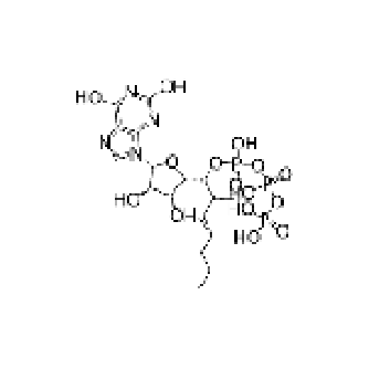 CCCC=CC(C)C(OP(=O)(O)OP(=O)(O)OP(=O)(O)O)[C@H]1O[C@@H](n2cnc3c(O)nc(O)nc32)[C@H](O)[C@@H]1O